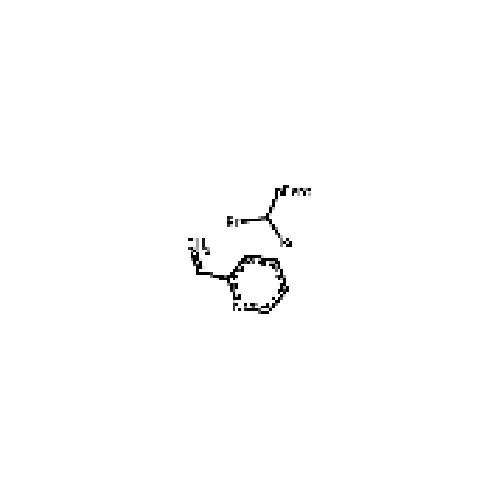 C=Cc1ccccn1.CCCCCC(Br)Br